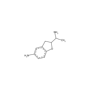 CC(N)C1Cc2cc(N)ccc2O1